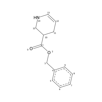 O=C(OCc1ccccc1)C1CC=CNC1